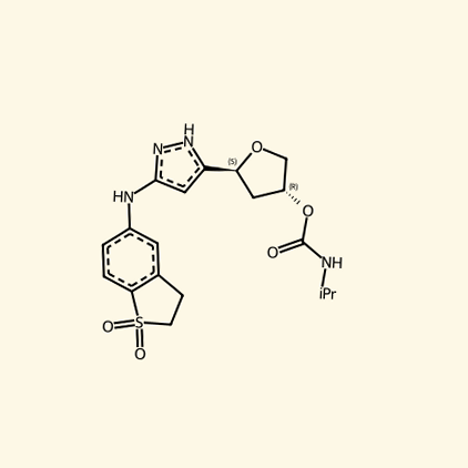 CC(C)NC(=O)O[C@H]1CO[C@H](c2cc(Nc3ccc4c(c3)CCS4(=O)=O)n[nH]2)C1